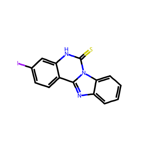 S=c1[nH]c2cc(I)ccc2c2nc3ccccc3n12